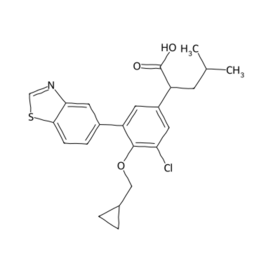 CC(C)CC(C(=O)O)c1cc(Cl)c(OCC2CC2)c(-c2ccc3scnc3c2)c1